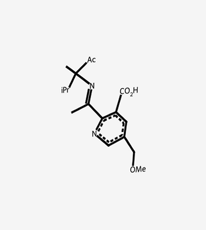 COCc1cnc(/C(C)=N/C(C)(C(C)=O)C(C)C)c(C(=O)O)c1